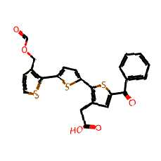 O=COCc1ccsc1-c1ccc(-c2sc(C(=O)c3ccccc3)cc2CC(=O)O)s1